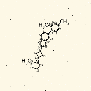 Cc1ccc(-c2ccc3nc(C4CC(N5CCC[C@@H]5C)C4)sc3c2)c(C)n1